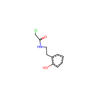 O=C(CCl)NCCc1ccccc1O